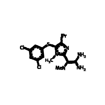 CNC(=C(N)N)c1nc(C(C)C)c(Sc2cc(Cl)cc(Cl)c2)n1C